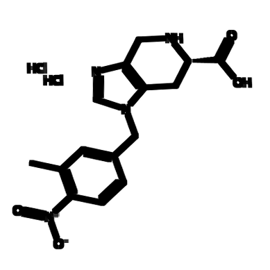 Cc1cc(Cn2cnc3c2C[C@@H](C(=O)O)NC3)ccc1[N+](=O)[O-].Cl.Cl